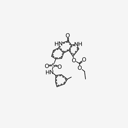 CCOC(=O)Oc1c[nH]c2c(=O)[nH]c3ccc(S(=O)(=O)Nc4cccc(C)c4)cc3c12